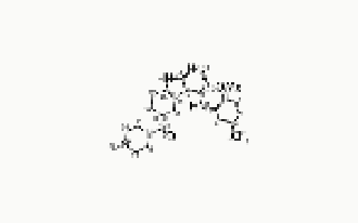 COc1ccc(C(F)(F)F)cc1Nc1ncnc2[nH]c3c(c12)C[C@H](C(=O)N1CCN(C)CC1)CC3